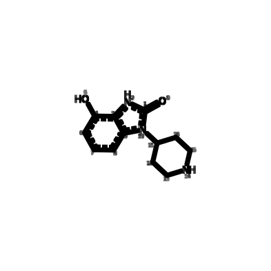 O=c1[nH]c2c(O)cccc2n1C1CCNCC1